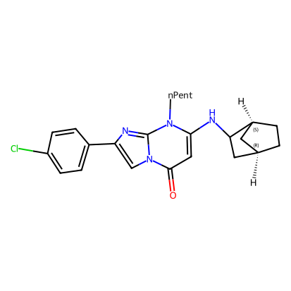 CCCCCn1c(NC2C[C@@H]3CC[C@H]2C3)cc(=O)n2cc(-c3ccc(Cl)cc3)nc12